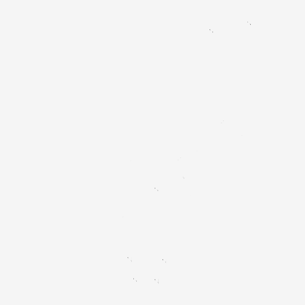 Nc1noc2cc(C(=O)COC(=O)[C@@H]3CCc4cc(-c5cc(Cl)ccc5-n5cnnn5)cc(=O)n43)ccc12